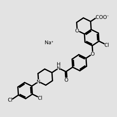 O=C(NC1CCN(c2ccc(Cl)cc2Cl)CC1)c1ccc(Oc2cc3c(cc2Cl)C(C(=O)[O-])CCO3)cc1.[Na+]